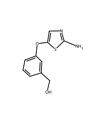 Nc1ncc(Oc2cccc(CO)c2)s1